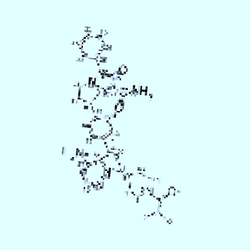 CC(C)C(=O)N1CCC(c2cc(-c3ccc(C4CCn5c4c(C(N)=O)c(=O)n5-c4ccccc4)cc3)c3c(N)ncnn23)CC1